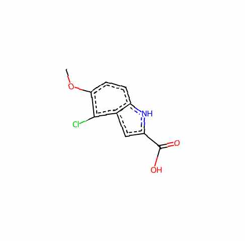 COc1ccc2[nH]c(C(=O)O)cc2c1Cl